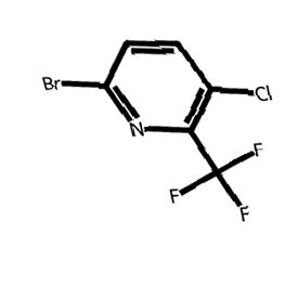 FC(F)(F)c1nc(Br)ccc1Cl